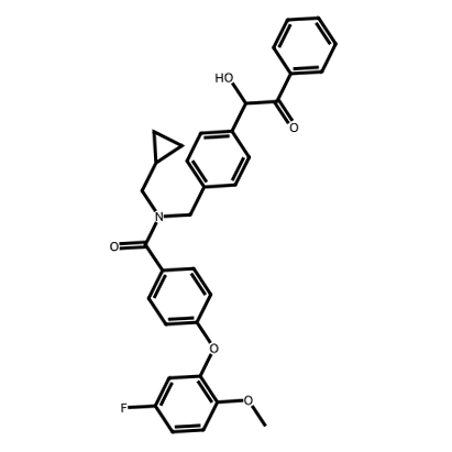 COc1ccc(F)cc1Oc1ccc(C(=O)N(Cc2ccc(C(O)C(=O)c3ccccc3)cc2)CC2CC2)cc1